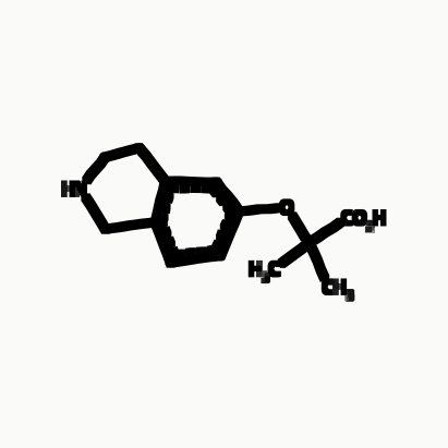 CC(C)(Oc1ccc2c(c1)CCNC2)C(=O)O